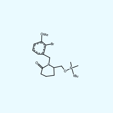 COc1cccc(CN2C(=O)CCCC2CO[Si](C)(C)C(C)(C)C)c1Br